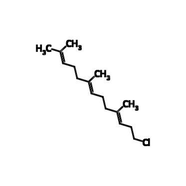 CC(C)=CCC/C(C)=C/CC/C(C)=C/CCCl